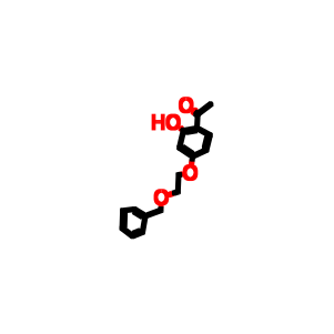 CC(=O)c1ccc(OCCOCc2ccccc2)cc1O